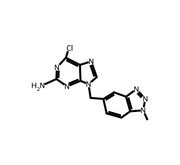 Cn1nnc2cc(Cn3cnc4c(Cl)nc(N)nc43)ccc21